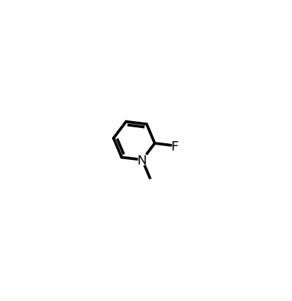 CN1C=CC=CC1F